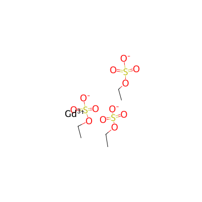 CCOS(=O)(=O)[O-].CCOS(=O)(=O)[O-].CCOS(=O)(=O)[O-].[Gd+3]